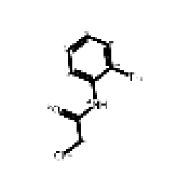 O=C(CCl)Nc1ccccc1F